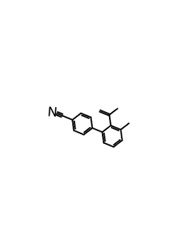 C=C(C)c1c(C)cccc1-c1ccc(C#N)cc1